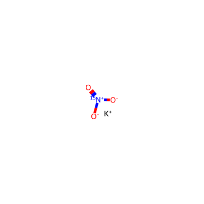 O=[15N+]([O-])[O-].[K+]